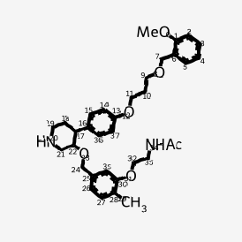 COc1ccccc1COCCCOc1ccc(C2CCNCC2OCc2ccc(C)c(OCCNC(C)=O)c2)cc1